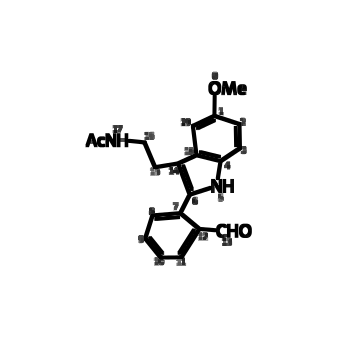 COc1ccc2[nH]c(-c3ccccc3C=O)c(CCNC(C)=O)c2c1